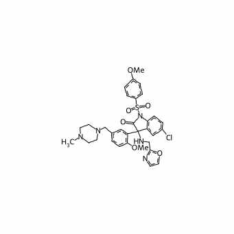 COc1ccc(S(=O)(=O)N2C(=O)C(NCc3ncco3)(c3cc(CN4CCN(C)CC4)ccc3OC)c3cc(Cl)ccc32)cc1